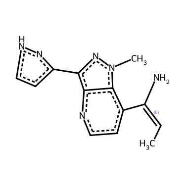 C/C=C(/N)c1ccnc2c(-c3cc[nH]n3)nn(C)c12